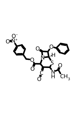 CC(=O)NC1S[C@@H]2C(Oc3ccccc3)C(=O)N2C(C(=O)OCc2ccc([N+](=O)[O-])cc2)C1=C=O